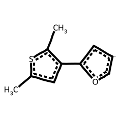 Cc1cc(-c2c[c]co2)c(C)s1